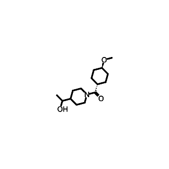 CO[C@H]1CC[C@H](C(=O)N2CCC(C(C)O)CC2)CC1